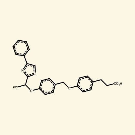 CCCC(Oc1ccc(COc2ccc(CCC(=O)O)cc2)cc1)c1nc(-c2ccccc2)cs1